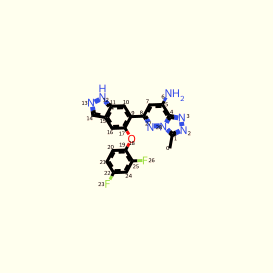 Cc1nnc2c(N)cc(-c3cc4[nH]ncc4cc3Oc3ccc(F)cc3F)nn12